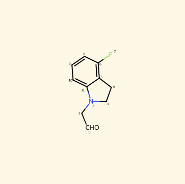 O=CCN1CCc2c(F)cccc21